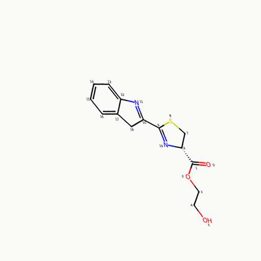 O=C(OCCO)[C@H]1CSC(C2=Nc3ccccc3C2)=N1